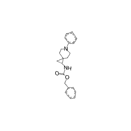 O=C(NC1CC12CCN(c1ccccc1)CC2)OCc1ccccc1